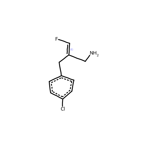 NC/C(=C/F)Cc1ccc(Cl)cc1